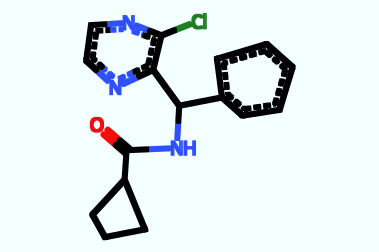 O=C(NC(c1ccccc1)c1nccnc1Cl)C1CCC1